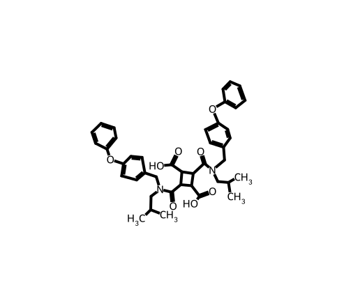 CC(C)CN(Cc1ccc(Oc2ccccc2)cc1)C(=O)C1C(C(=O)O)C(C(=O)N(Cc2ccc(Oc3ccccc3)cc2)CC(C)C)C1C(=O)O